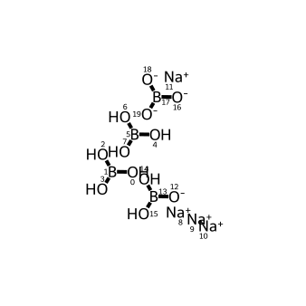 OB(O)O.OB(O)O.[Na+].[Na+].[Na+].[Na+].[O-]B(O)O.[O-]B([O-])[O-]